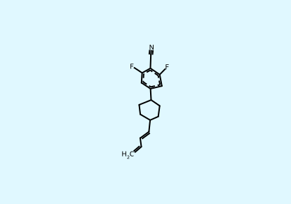 C=CC=CC1CCC(c2cc(F)c(C#N)c(F)c2)CC1